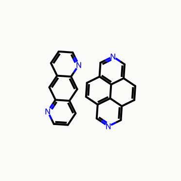 c1cc2cncc3ccc4cncc1c4c23.c1cnc2cc3cccnc3cc2c1